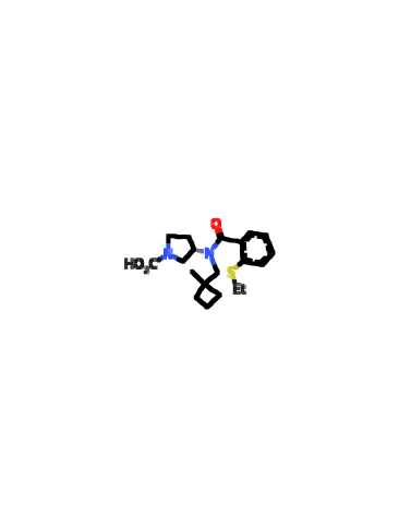 CCSc1ccccc1C(=O)N(CC1(C)CCC1)[C@H]1CCN(C(=O)O)C1